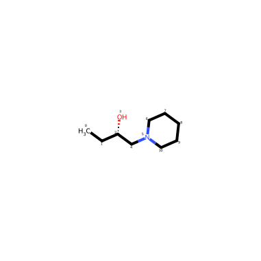 CC[C@H](O)CN1CCCCC1